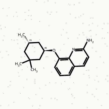 C[C@@H]1C[C@@H](Oc2cccc3ccc(N)nc23)CC(C)(C)C1